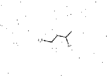 CC(S)CC[SiH3]